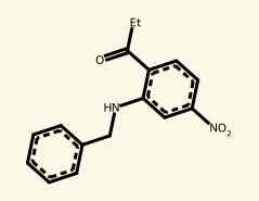 CCC(=O)c1ccc([N+](=O)[O-])cc1NCc1ccccc1